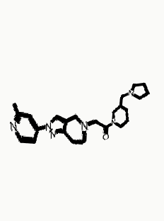 Cc1cc(-n2cc3c(n2)CCN(CC(=O)N2CCCC(CN4CCCC4)C2)C3)ccn1